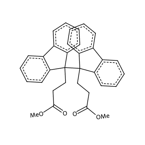 COC(=O)CCC1(C2(CCC(=O)OC)c3ccccc3-c3ccccc32)c2ccccc2-c2ccccc21